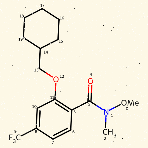 CON(C)C(=O)c1ccc(C(F)(F)F)cc1OCC1CCCCC1